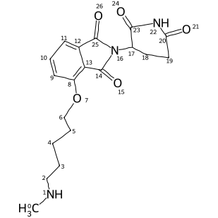 CNCCCCCOc1cccc2c1C(=O)N(C1CCC(=O)NC1=O)C2=O